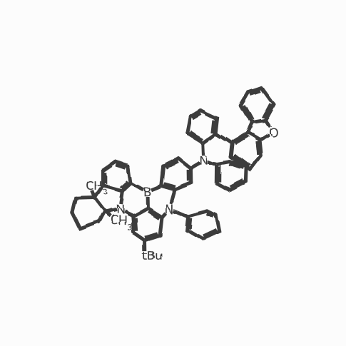 CC(C)(C)c1cc2c3c(c1)N1c4c(cccc4C4(C)CCCCC14C)B3c1ccc(N(c3ccccc3)c3ccccc3-c3cccc4oc5ccccc5c34)cc1N2c1ccccc1